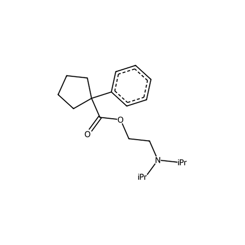 CC(C)N(CCOC(=O)C1(c2ccccc2)CCCC1)C(C)C